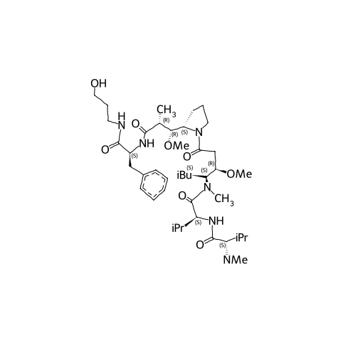 CC[C@H](C)[C@@H]([C@@H](CC(=O)N1CCC[C@H]1[C@H](OC)[C@@H](C)C(=O)N[C@@H](Cc1ccccc1)C(=O)NCCCO)OC)N(C)C(=O)[C@@H](NC(=O)[C@@H](NC)C(C)C)C(C)C